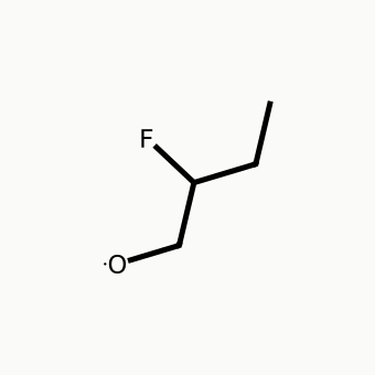 CCC(F)C[O]